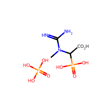 CN(C(=N)N)C(C(=O)O)P(=O)(O)O.O=P(O)(O)O